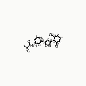 CC(Cl)C(=O)Nc1ccnc(-c2cc(-c3c(Cl)cccc3Cl)no2)c1